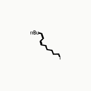 CCCC/C=C\C=C/CCCCCI